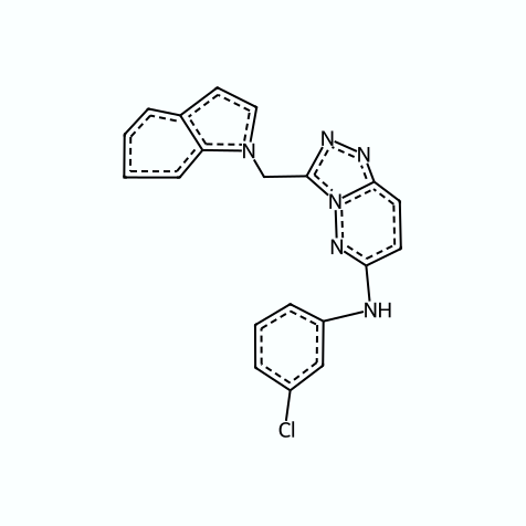 Clc1cccc(Nc2ccc3nnc(Cn4ccc5ccccc54)n3n2)c1